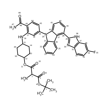 CC(C)(C)OC(=O)C(N)C(=O)OC1CCC(Nc2cc(-n3c4ccccc4c4c(-c5nc6ccc(F)cc6[nH]5)cccc43)ccc2C(N)=O)CC1